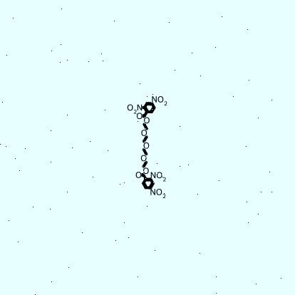 O=C(OCCOCCOCCOCCOC(=O)c1ccc([N+](=O)[O-])cc1[N+](=O)[O-])c1ccc([N+](=O)[O-])cc1[N+](=O)[O-]